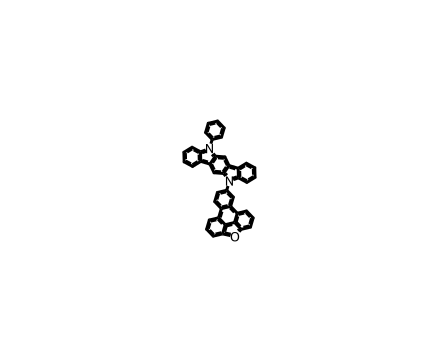 c1ccc(-n2c3ccccc3c3cc4c(cc32)c2ccccc2n4-c2ccc3c(c2)c2cccc4oc5cccc3c5c42)cc1